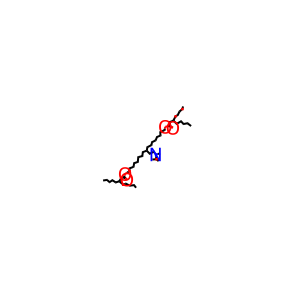 CCCCCC(CCCCC)CC(=O)OCCCCCCCCC(CCCCCCCCOC(=O)CC(CCCCC)CCCCC)CCN(C)C(C)C